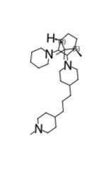 CN1CCC(CCCC2CCN(C3C(N4CCCCC4)[C@@H]4CC[C@@]3(C)C4(C)C)CC2)CC1